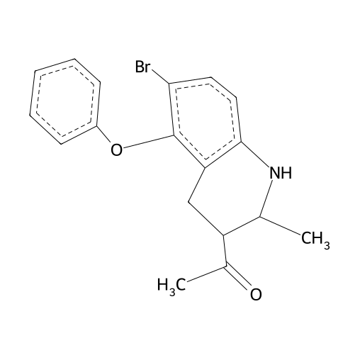 CC(=O)C1Cc2c(ccc(Br)c2Oc2ccccc2)NC1C